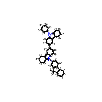 CC1(C)c2ccccc2-c2ccc(-n3c4c(c5cc(-c6ccc7c(c6)c6ccccc6n7-c6ccccc6)ccc53)=CCCC=4)cc21